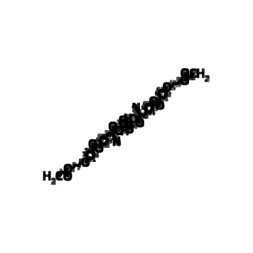 C=CC(=O)OCCCCOc1ccc(C(=O)Oc2ccc(/C=C(\C#N)C(=O)O[C@H]3CO[C@H]4[C@@H]3OC[C@H]4OC(=O)/C(C#N)=C/c3ccc(OC(=O)c4ccc(OCCCCOC(=O)C=C)cc4)cc3)cc2)cc1